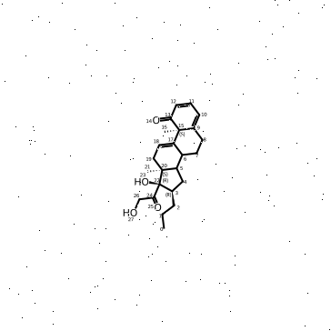 CCC[C@@H]1CC2C3CCC4=CC=CC(=O)[C@]4(C)C3=CC[C@]2(C)[C@@]1(O)C(=O)CO